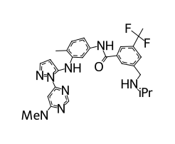 CNc1cc(-n2nccc2Nc2cc(NC(=O)c3cc(CNC(C)C)cc(C(C)(F)F)c3)ccc2C)ncn1